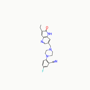 CCc1cc2ncc(CN3CCN(c4ccc(F)cc4C#N)CC3)cc2[nH]c1=O